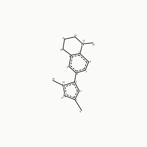 Cc1cc(-c2ccc3c(c2)CCCN3C)n(C)n1